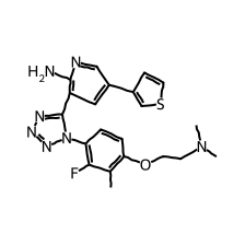 Cc1c(OCCN(C)C)ccc(-n2nnnc2-c2cc(-c3ccsc3)cnc2N)c1F